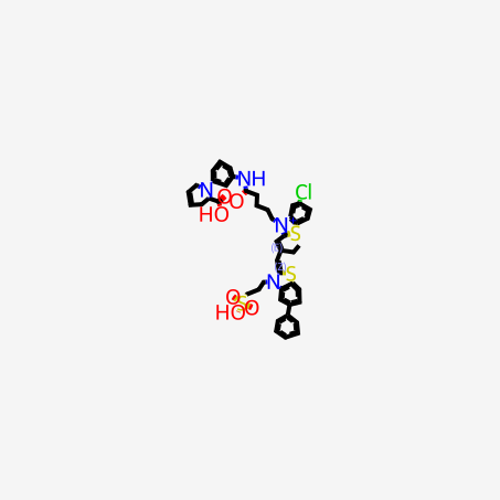 CCC(/C=C1\Sc2ccc(-c3ccccc3)cc2N1CCCS(=O)(=O)O)=C\c1sc2ccc(Cl)cc2[n+]1CCCCC(=O)Nc1cccc(N2CC=CCC2C(=O)O)c1